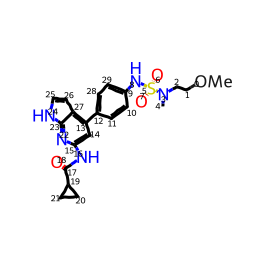 COCCN(C)S(=O)(=O)Nc1ccc(-c2cc(NC(=O)C3CC3)nc3[nH]ccc23)cc1